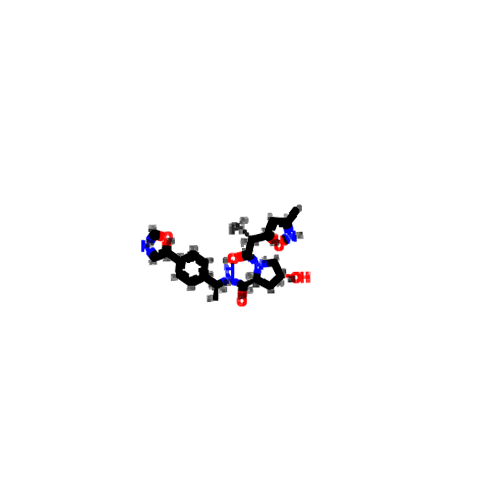 Cc1cc([C@H](C(=O)N2C[C@H](O)C[C@H]2C(=O)N[C@@H](C)c2ccc(-c3cnco3)cc2)C(C)C)on1